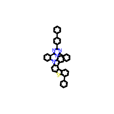 c1ccc(-c2ccc(-c3nc(-c4ccccc4)nc(-c4ccccc4-n4c5ccccc5c5c6c(ccc54)sc4c(-c5ccccc5)cccc46)n3)cc2)cc1